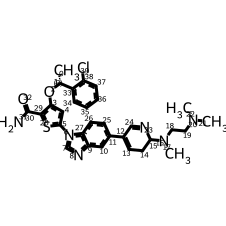 C[C@@H](Oc1cc(-n2cnc3cc(C4=CCC(N(C)CCN(C)C)N=C4)ccc32)sc1C(N)=O)c1ccccc1Cl